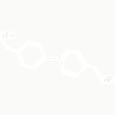 CC(C)COCc1ccc(-c2ccc(COCC(C)C)cc2)cc1